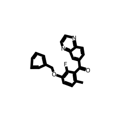 Cc1ccc(OCc2ccccc2)c(F)c1C(=O)c1ccc2nccnc2c1